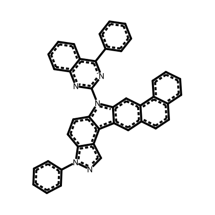 c1ccc(-c2nc(-n3c4cc5c(ccc6ccccc65)cc4c4c5cnn(-c6ccccc6)c5ccc43)nc3ccccc23)cc1